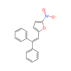 O=[N+]([O-])c1ccc(C=C(c2ccccc2)c2ccccc2)o1